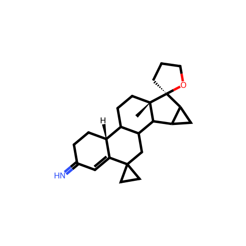 C[C@]12CCC3C(CC4(CC4)C4=CC(=N)CC[C@@H]43)C1C1CC1[C@@]21CCCO1